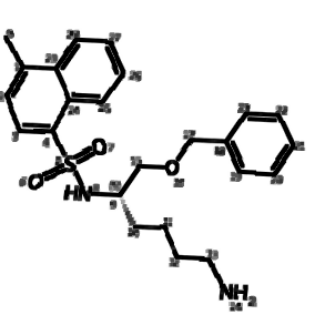 Cc1ccc(S(=O)(=O)N[C@@H](CCCCN)COCc2ccccc2)c2ccccc12